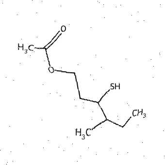 CCC(C)C(S)CCOC(C)=O